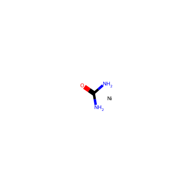 NC(N)=O.[Ni]